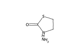 N.O=C1NCCS1